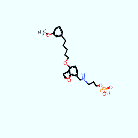 COc1cccc(CCCCCOc2ccc(CNCCCO[PH](=O)O)c3occc23)c1